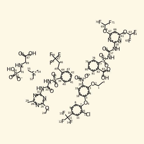 CCOc1cc(Oc2ccc(C(F)(F)F)cc2Cl)ccc1[N+](=O)[O-].COc1nc(C)nc(NC(=O)NS(=O)(=O)c2ccccc2CCC(F)(F)F)n1.C[S+](C)C.O=C(Nc1nc(OC(F)F)cc(OC(F)F)n1)NS(=O)(=O)c1ccccc1C(=O)O.O=C(O)CNCP(=O)([O-])O